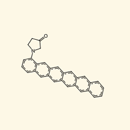 O=C1CCN(c2cccc3cc4cc5cc6cc7ccccc7cc6cc5cc4cc23)C1